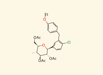 CCOc1ccc(Cc2cc([C@@H]3O[C@H](COC(C)=O)[C@@H](C)[C@H](OC(C)=O)[C@H]3OC(C)=O)ccc2Cl)cc1